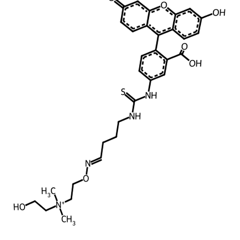 C[N+](C)(CCO)CCO/N=C/CCCNC(=S)Nc1ccc(-c2c3ccc(=O)cc-3oc3cc(O)ccc23)c(C(=O)O)c1